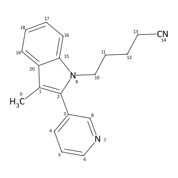 Cc1c(-c2cccnc2)n(CCCCC#N)c2ccccc12